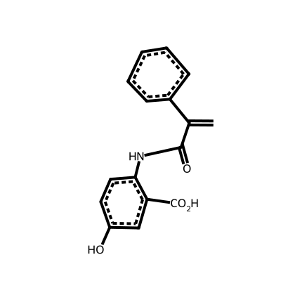 C=C(C(=O)Nc1ccc(O)cc1C(=O)O)c1ccccc1